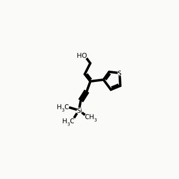 C[Si](C)(C)C#C/C(=C/CO)c1ccsc1